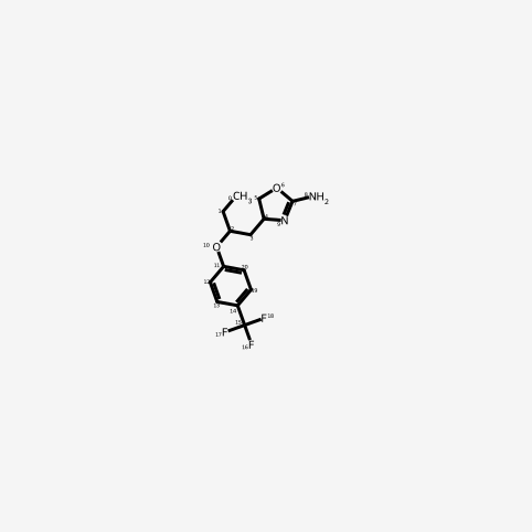 CCC(CC1COC(N)=N1)Oc1ccc(C(F)(F)F)cc1